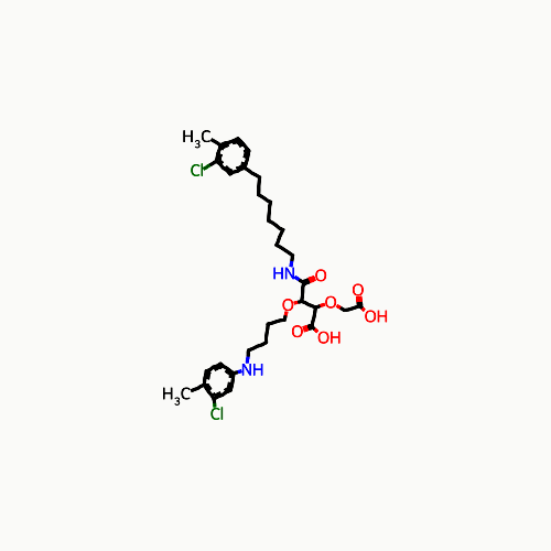 Cc1ccc(CCCCCCCNC(=O)C(OCCCCNc2ccc(C)c(Cl)c2)C(OCC(=O)O)C(=O)O)cc1Cl